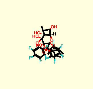 CC[Si](CC)(CC)O[C@]1(C(C)=O)O[C@@H]2C(O)C(C)[C@]2(O)[C@@](O)(Oc2c(F)c(F)c(F)c(F)c2F)[C@]1(O)Oc1c(F)c(F)c(F)c(F)c1F